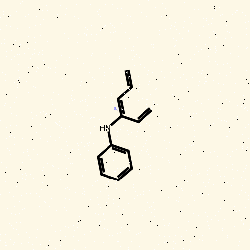 C=C/C=C(\C=C)Nc1ccccc1